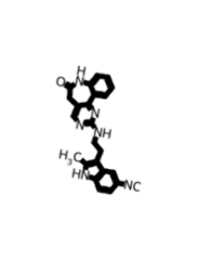 [C-]#[N+]c1ccc2[nH]c(C)c(CCNc3ncc4c(n3)-c3ccccc3NC(=O)C4)c2c1